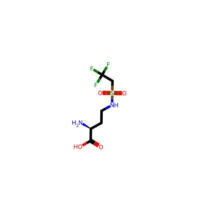 N[C@@H](CCNS(=O)(=O)CC(F)(F)F)C(=O)O